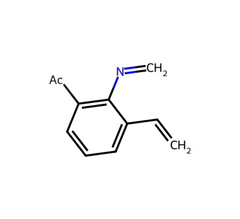 C=Cc1cccc(C(C)=O)c1N=C